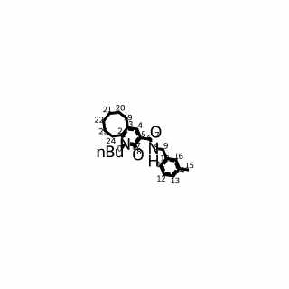 CCCCn1c2c(cc(C(=O)NCc3cccc(C)c3)c1=O)CCCCCC2